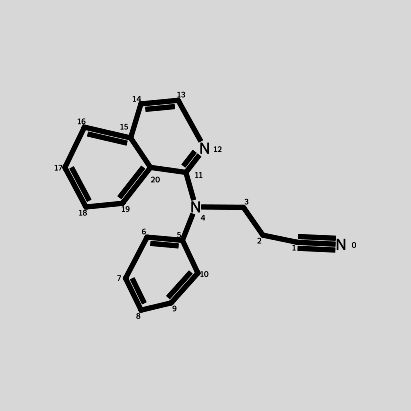 N#CCCN(c1ccccc1)c1nccc2ccccc12